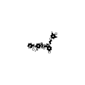 Cc1cc(OCCCn2nc(C(=O)NS(=O)(=O)c3ccc(NCc4cccnc4)c([N+](=O)[O-])c3)c3cc(Cl)ccc32)cc(C)c1Cl